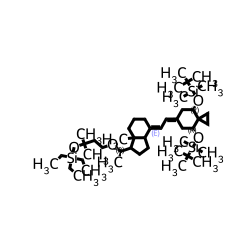 CC[Si](CC)(CC)OC(C)(C)CCO[C@H](C)C1CCC2/C(=C/C=C3C[C@@H](O[Si](C)(C)C(C)(C)C)C4(CC4)[C@H](O[Si](C)(C)C(C)(C)C)C3)CCCC21C